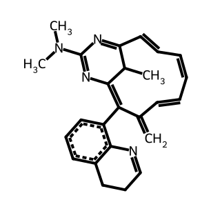 C=C1/C=C/C=C\C=C\C2=NC(N(C)C)=N/C(=C/1c1cccc3c1N=CCC3)C2C